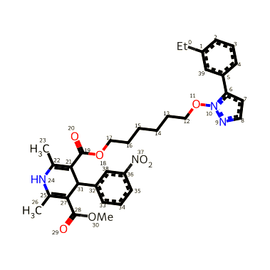 CCc1cccc(-c2ccnn2OCCCCCCOC(=O)C2=C(C)NC(C)=C(C(=O)OC)C2c2cccc([N+](=O)[O-])c2)c1